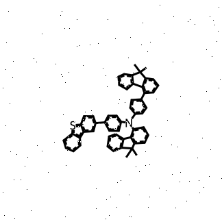 CC1(C)c2ccccc2-c2c(-c3ccc(N(c4ccc(-c5ccc6sc7ccccc7c6c5)cc4)c4cccc5c4-c4ccccc4C5(C)C)cc3)cccc21